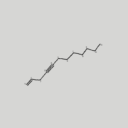 C=CCC#CCCCCCCC